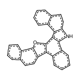 c1ccc2c(c1)ccc1c2oc2c1c1ccccc1c1[nH]c3ccc4ccccc4c3c12